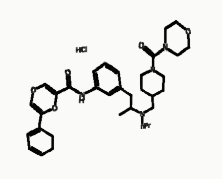 CCCN(CC1CCN(C(=O)N2CCOCC2)CC1)C(C)Cc1cccc(NC(=O)C2=COC=C(C3=CC=CCC3)O2)c1.Cl